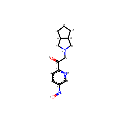 O=Nc1ccc(C(=O)CN2CC3CCCC3C2)nc1